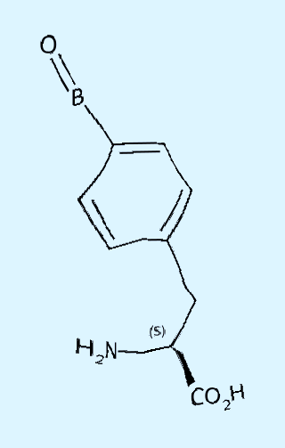 N[C@@H](Cc1ccc(B=O)cc1)C(=O)O